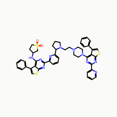 O=S1(=O)CCC(Nc2nc(-c3cccc(C4CCCN4CCN4CCN(c5nc(-c6ccccn6)nc6scc(-c7ccccc7)c56)CC4)n3)nc3scc(-c4ccccc4)c23)C1